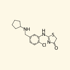 O=C1CSC(Nc2cc(CNC3CCCC3)ccc2Cl)=N1